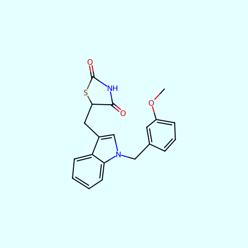 COc1cccc(Cn2cc(CC3SC(=O)NC3=O)c3ccccc32)c1